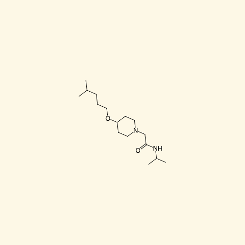 CC(C)CCCOC1CCN(CC(=O)NC(C)C)CC1